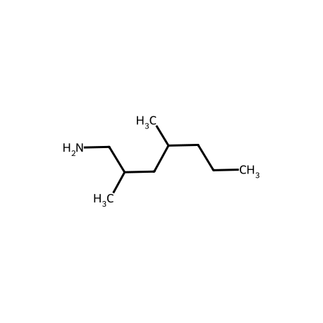 CCCC(C)CC(C)CN